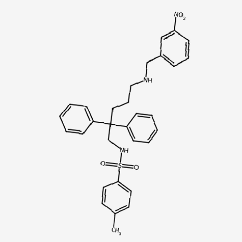 Cc1ccc(S(=O)(=O)NCC(CCCNCc2cccc([N+](=O)[O-])c2)(c2ccccc2)c2ccccc2)cc1